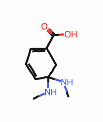 CNC1(NC)C=CC=C(C(=O)O)C1